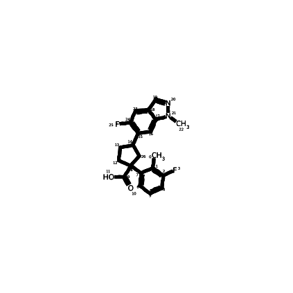 Cc1c(F)cccc1C1(C(=O)O)CCC(c2cc3c(cnn3C)cc2F)C1